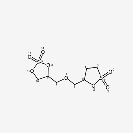 O=S1(=O)CCC(COCC2COS(=O)(=O)O2)O1